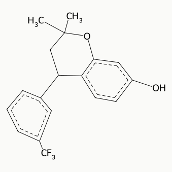 CC1(C)CC(c2cccc(C(F)(F)F)c2)c2ccc(O)cc2O1